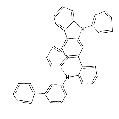 c1ccc(-c2cccc(N(c3ccccc3)c3ccccc3-c3ccc4c5ccccc5n(-c5ccccc5)c4c3)c2)cc1